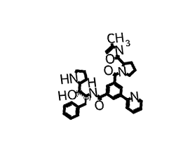 Cc1coc(C2CCCN2C(=O)c2cc(C(=O)N[C@@H](Cc3ccccc3)[C@H](O)C3CCCN3)cc(-c3ccccn3)c2)n1